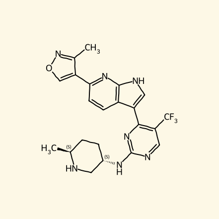 Cc1nocc1-c1ccc2c(-c3nc(N[C@H]4CC[C@H](C)NC4)ncc3C(F)(F)F)c[nH]c2n1